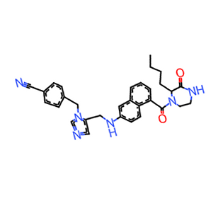 CCCCC1C(=O)NCCN1C(=O)c1cccc2cc(NCc3cncn3Cc3ccc(C#N)cc3)ccc12